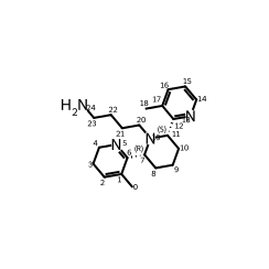 CC1=CCCN=C1[C@H]1CCC[C@@H](c2ncccc2C)N1CCCCN